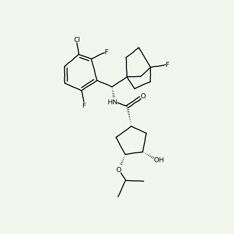 CC(C)O[C@@H]1C[C@H](C(=O)N[C@H](c2c(F)ccc(Cl)c2F)C23CCC(F)(CC2)C3)C[C@@H]1O